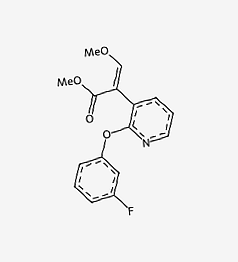 COC=C(C(=O)OC)c1cccnc1Oc1cccc(F)c1